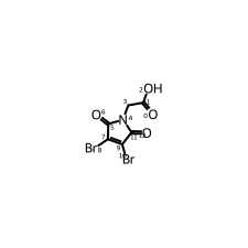 O=C(O)CN1C(=O)C(Br)=C(Br)C1=O